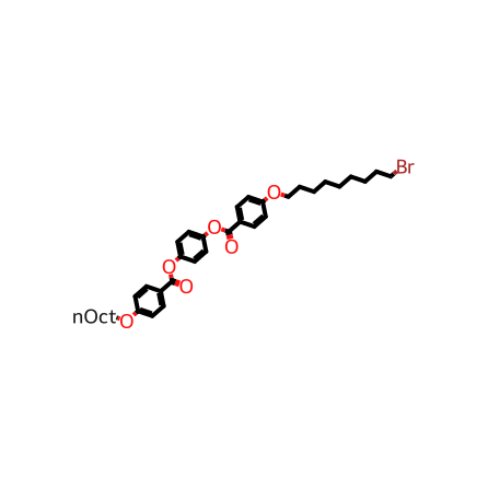 CCCCCCCCOc1ccc(C(=O)Oc2ccc(OC(=O)c3ccc(OCCCCCCCCCBr)cc3)cc2)cc1